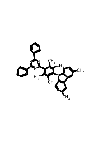 Cc1ccc2c(c1)c1cc(C)ccc1n2-c1c(C)c(C)c(-c2nc(-c3ccccc3)nc(-c3ccccc3)n2)c(C)c1C